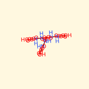 O=C(O)CCOCCOCCOCCNC(=O)CCCCCCCNC(=O)CCOCCC(CCOCCC(=O)NCCCCCCCC(=O)NCCOCCOCCOCCC(=O)O)OCCC(=O)NCCCCCCCC(=O)NCCOCCOCCOCCC(=O)O